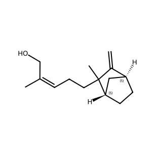 C=C1[C@H]2CC[C@@H](C2)C1(C)CCC=C(C)CO